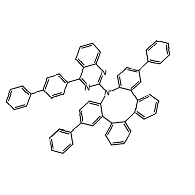 c1ccc(-c2ccc(-c3nc(-n4c5ccc(-c6ccccc6)cc5c5ccccc5c5ccccc5c5cc(-c6ccccc6)ccc54)nc4ccccc34)cc2)cc1